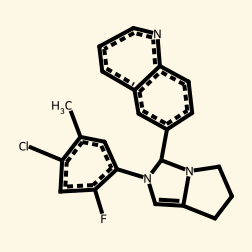 Cc1cc(N2C=C3CCCN3C2c2ccc3ncccc3c2)c(F)cc1Cl